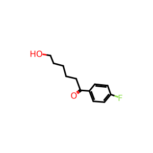 O=C(CCCCCO)c1ccc(F)cc1